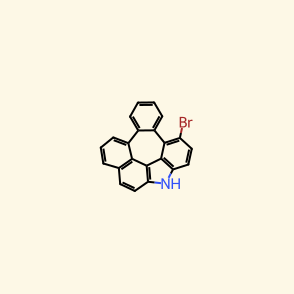 Brc1ccc2[nH]c3ccc4cccc5c4c3c2c1-c1ccccc1-5